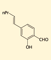 CCCC=Cc1ccc(C=O)c(O)c1